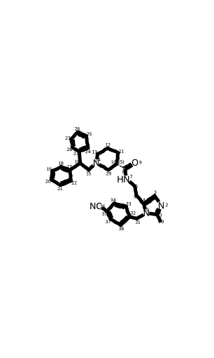 Cc1ncc(CCNC(=O)[C@H]2CCCN(CC(c3ccccc3)c3ccccc3)C2)n1Cc1ccc(C#N)cc1